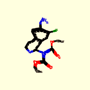 CC(C)(C)OC(=O)N(C(=O)OC(C)(C)C)c1nccc2cc(N)c(F)cc12